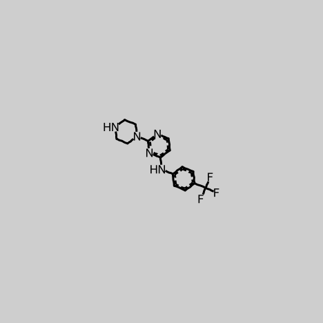 FC(F)(F)c1ccc(Nc2ccnc(N3CCNCC3)n2)cc1